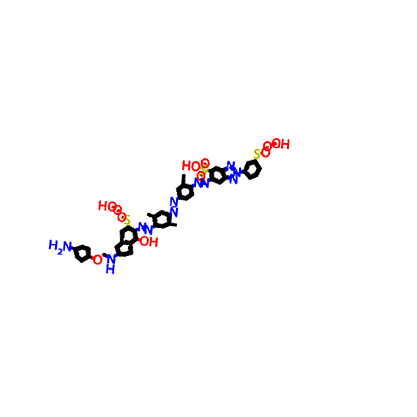 Cc1cc(N=Nc2c(SOOO)cc3cc(NCOc4ccc(N)cc4)ccc3c2O)c(C)cc1N=Nc1ccc(N=Nc2cc3nn(-c4cccc(SOOO)c4)nc3cc2S(=O)(=O)O)c(C)c1